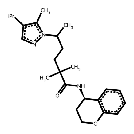 Cc1c(C(C)C)cnn1C(C)CCC(C)(C)C(=O)N[C@@H]1CCOc2ccccc21